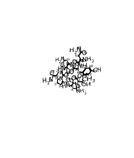 C[C@@H](O)[C@H](NC(=O)[C@@H](CC(N)=O)NC(=O)[C@@H]1CCCN1C(=O)[C@H](CCC(N)=O)NC(=O)[C@@H](CC(N)=O)NC(=O)[C@@H](Cc1ccc(O)cc1)NC(=O)[C@@H](N)CC(N)=O)C(=O)O